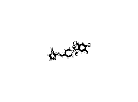 Cc1cc(S(=O)(=O)N2CCC(CSc3nccn3C)CC2)c(Cl)cc1Cl